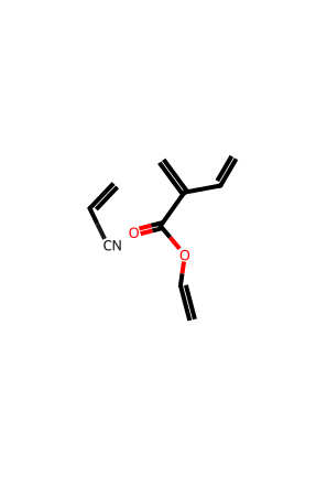 C=CC#N.C=COC(=O)C(=C)C=C